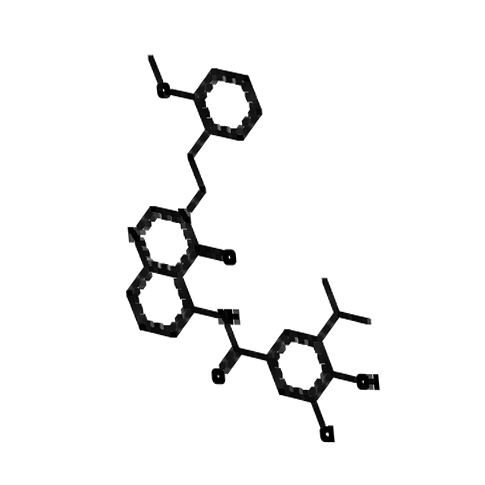 COc1ccccc1CCn1cnc2cccc(NC(=O)c3cc(Cl)c(O)c(C(C)C)c3)c2c1=O